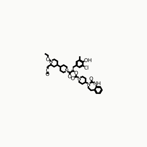 CCON1CCC(C2CCN(C(=O)[C@@H](Cc3cc(C)c(O)c(Cl)c3)OC(=O)N3CCC(N4CCc5ccccc5NC4=O)CC3)CC2)CC1C=C=O